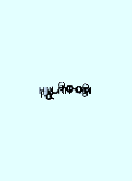 Cc1[nH]c2c(F)ccc(C)c2c1CCNC(=O)c1ccc(-c2ccc(S(=O)(=O)N(C)C)cc2)cc1